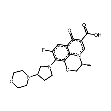 C[C@H]1COc2c(N3CCC(N4CCOCC4)C3)c(F)cc3c(=O)c(C(=O)O)cn1c23